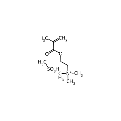 C=C(C)C(=O)OCC[N+](C)(C)C.CS(=O)(=O)O